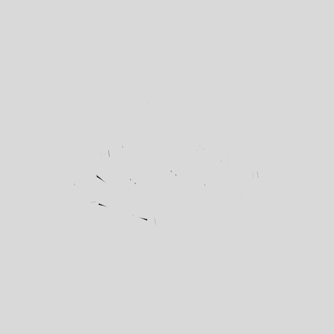 CC(C)(C)OC(=O)NC(CC1CC1)C(=O)N1C[C@@H]2CCC[C@@H]2[C@H]1C(=O)O